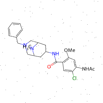 COc1cc(NC(C)=O)c(Cl)cc1C(=O)NC1CC2CN(Cc3ccccc3)CC(C1)N2C